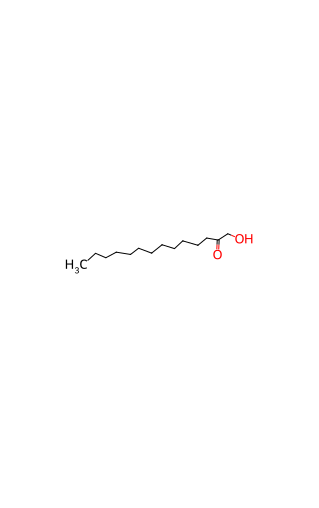 CCCCCCCCCCCCC(=O)CO